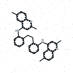 Cc1ccc2nc(C)cc(Nc3ccccc3CCc3ccccc3Nc3cc(C)nc4ccc(C)cc34)c2c1